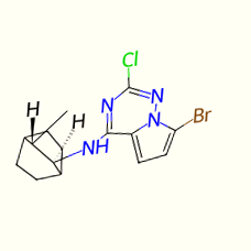 C[C@H]1C2CCC(CC2)[C@@H]1Nc1nc(Cl)nn2c(Br)ccc12